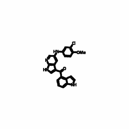 COc1ccc(Nc2cnc3[nH]cc(C(=O)c4cccc5[nH]ccc45)c3c2)cc1Cl